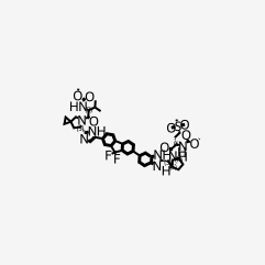 COC(=O)N[C@@H](CCS(C)(=O)=O)C(=O)N1[C@@H]2CC[C@@H](C2)[C@H]1c1nc2ccc(-c3ccc4c(c3)C(F)(F)c3cc(-c5cnc([C@@H]6CC7(CC7)CN6C(=O)[C@H](NC(=O)OC)C(C)C)[nH]5)ccc3-4)cc2[nH]1